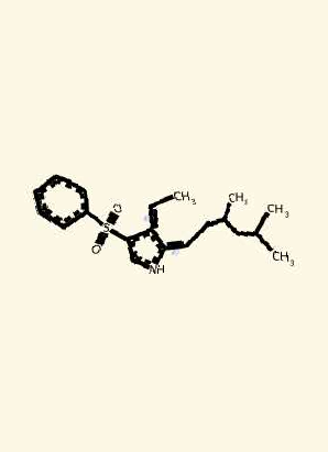 C/C=c1/c(S(=O)(=O)c2ccccc2)c[nH]/c1=C/CC(C)CC(C)C